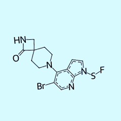 O=C1NCC12CCN(c1c(Br)cnc3c1ccn3SF)CC2